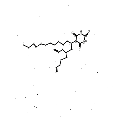 C=CCCCC(CC=C)CC(CCCCCCCCCCC)n1c(=O)[nH]c(=O)[nH]c1=O